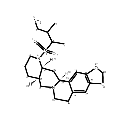 CC(CN)C(C)S(=O)(=O)N1CCC[C@@H]2CN3CCc4cc5c(cc4[C@@H]3C[C@@H]21)OCO5